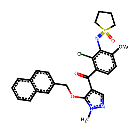 COc1ccc(C(=O)c2cnn(C)c2OCc2ccc3ccccc3c2)c(Cl)c1N=S1(=O)CCCC1